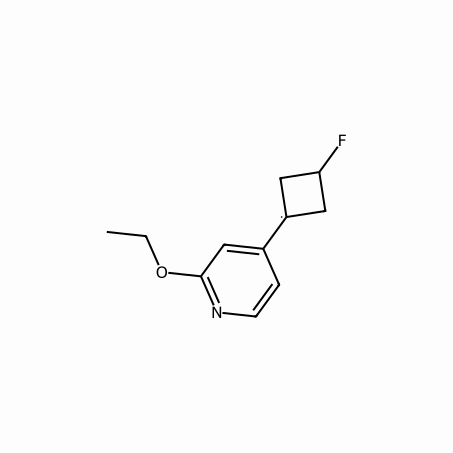 CCOc1cc([C]2CC(F)C2)ccn1